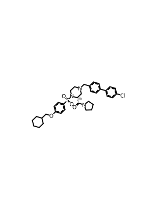 O=C([C@H]1CN(Cc2ccc(-c3ccc(Cl)cc3)cc2)CCN1S(=O)(=O)c1ccc(OCC2CCCCC2)cc1)N1CCCC1